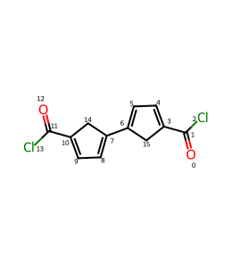 O=C(Cl)C1=CC=C(C2=CC=C(C(=O)Cl)C2)C1